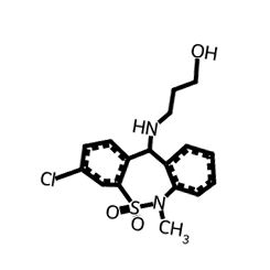 CN1c2ccccc2C(NCCCO)c2ccc(Cl)cc2S1(=O)=O